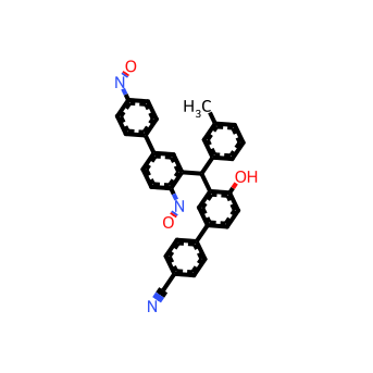 Cc1cccc(C(c2cc(-c3ccc(C#N)cc3)ccc2O)c2cc(-c3ccc(N=O)cc3)ccc2N=O)c1